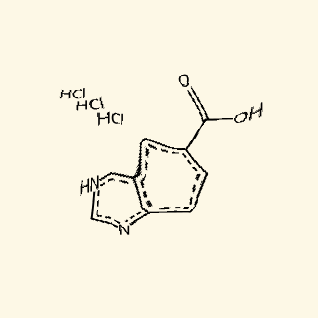 Cl.Cl.Cl.O=C(O)c1ccc2nc[nH]c2c1